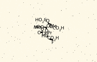 C=CF.CCCOC(=O)OCCC.COC(=O)OC.O=C(O)O.O=C(O)OCCOC(=O)O